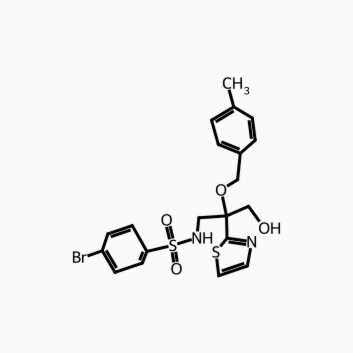 Cc1ccc(COC(CO)(CNS(=O)(=O)c2ccc(Br)cc2)c2nccs2)cc1